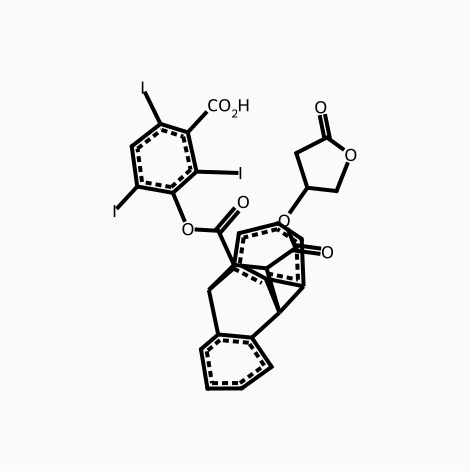 O=C1CC(OC(=O)C2C(C(=O)Oc3c(I)cc(I)c(C(=O)O)c3I)C3c4ccccc4C24c2cccc3c24)CO1